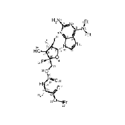 CCN(CC)c1nc(N)nc2c1ncn2[C@@H]1O[C@](F)(CO[PH](=O)N[C@@H](C)C(=O)OC(C)C)[C@@H](O)[C@@]1(C)F